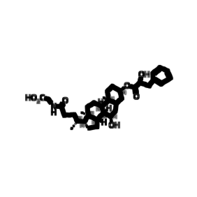 C[C@H](CCC(=O)NCC(=O)O)[C@H]1CC[C@H]2[C@@H]3[C@H](O)CC4C[C@H](OC(=O)C(O)Cc5ccccc5)CC[C@]4(C)[C@H]3CC[C@]12C